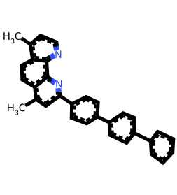 Cc1ccnc2c1ccc1c(C)cc(-c3ccc(-c4ccc(-c5ccccc5)cc4)cc3)nc12